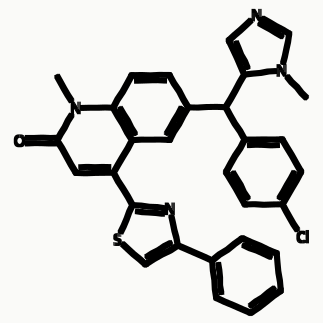 Cn1cncc1C(c1ccc(Cl)cc1)c1ccc2c(c1)c(-c1nc(-c3ccccc3)cs1)cc(=O)n2C